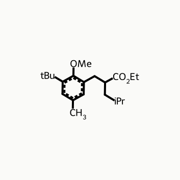 CCOC(=O)C(Cc1cc(C)cc(C(C)(C)C)c1OC)CC(C)C